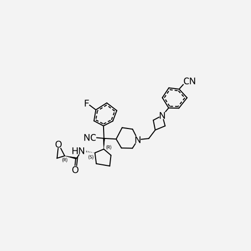 N#Cc1ccc(N2CC(CN3CCC(C(C#N)(c4cccc(F)c4)[C@H]4CCC[C@@H]4NC(=O)[C@H]4CO4)CC3)C2)cc1